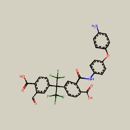 Nc1ccc(Oc2ccc(NC(=O)c3cc(C(c4ccc(C(=O)O)c(C=O)c4)(C(F)(F)F)C(F)(F)F)ccc3C(=O)O)cc2)cc1